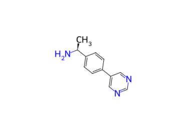 C[C@H](N)c1ccc(-c2cncnc2)cc1